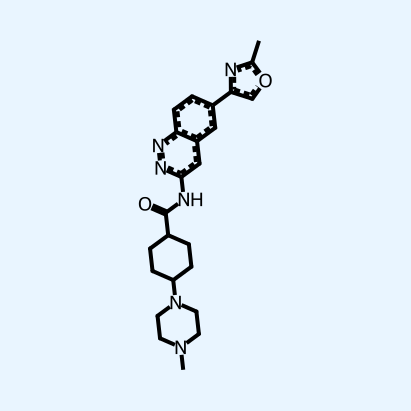 Cc1nc(-c2ccc3nnc(NC(=O)C4CCC(N5CCN(C)CC5)CC4)cc3c2)co1